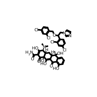 CN(C)[C@@H]1C(O)=C(C(N)=O)C(=O)[C@@]2(O)C(O)=C3C(=O)c4c(O)cccc4[C@@](C)(O)[C@H]3C[C@@H]12.Clc1ccc(COC(Cn2ccnc2)c2ccc(Cl)cc2Cl)c(Cl)c1